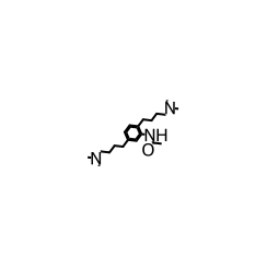 CC(=O)Nc1cc(CCCCN(C)C)ccc1CCCCN(C)C